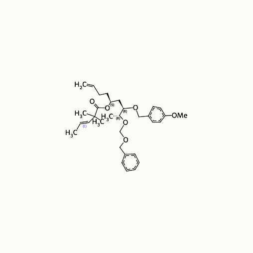 C=CCC[C@@H](C[C@@H](OCc1ccc(OC)cc1)[C@@H](C)OCOCc1ccccc1)OC(=O)C(C)(C)/C=C/C